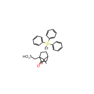 CC1(C)C2CCC1(CS(=O)(=O)O)C(=O)C2.CCS(c1ccccc1)(c1ccccc1)c1ccccc1